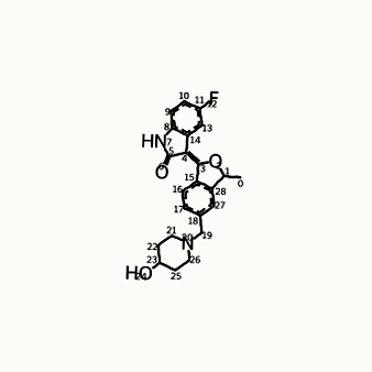 CC1OC(=C2C(=O)Nc3ccc(F)cc32)c2ccc(CN3CCC(O)CC3)cc21